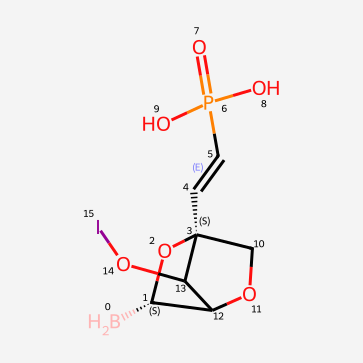 B[C@@H]1O[C@@]2(/C=C/P(=O)(O)O)COC1C2OI